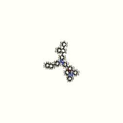 c1ccc(-c2ccc(-c3ccc(N(c4ccc(-c5ccc(-c6ccccc6-n6c7ccccc7c7ccccc76)cc5)cc4)c4ccc(-c5ccc6ccccc6c5)cc4)cc3)c3ccccc23)cc1